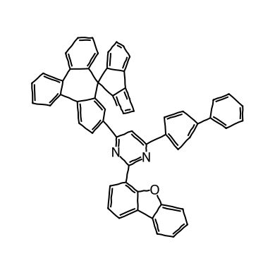 c1ccc(-c2ccc(-c3cc(-c4ccc5c(c4)C4(c6ccccc6-c6ccccc6-5)c5ccccc5-c5ccccc54)nc(-c4cccc5c4oc4ccccc45)n3)cc2)cc1